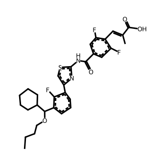 CCCCOC(c1cccc(-c2csc(NC(=O)c3cc(F)c(C=C(C)C(=O)O)c(F)c3)n2)c1F)C1CCCCC1